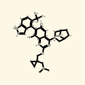 CN(C)CC1(COc2nc(N3CC4CCC(C3)N4)c3cc(Cl)c(-c4c(C(F)(F)F)ccc5[nH]ncc45)c(F)c3n2)CC1